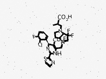 CCOC(=O)C1=C(CN2CC(F)(F)C3C2CCN3CC(C)C(=O)O)NC(c2nccs2)=N[C@H]1c1cccc(F)c1Cl